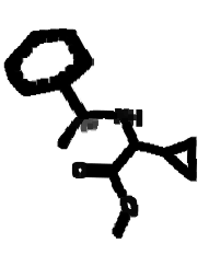 COC(=O)C(N[C@@H](C)c1ccccc1)C1CC1